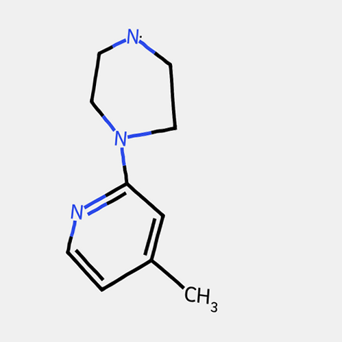 Cc1ccnc(N2CC[N]CC2)c1